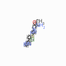 C[C@@H]1OCC2(CCN(c3cnc(Sc4cccc(-c5cnc6ccnn6c5)c4Cl)cn3)CC2)[C@@H]1N